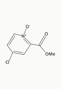 COC(=O)c1cc(Cl)cc[n+]1[O-]